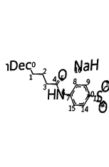 CCCCCCCCCCCCCC(=O)Nc1ccc(S(=O)O)cc1.[NaH]